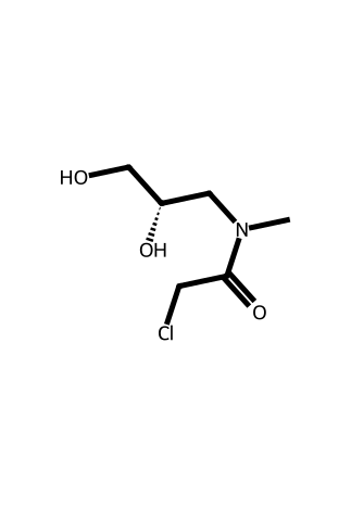 CN(C[C@H](O)CO)C(=O)CCl